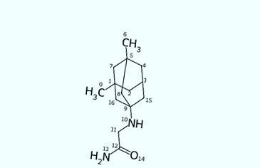 CC12CC3CC(C)(C1)CC(NCC(N)=O)(C3)C2